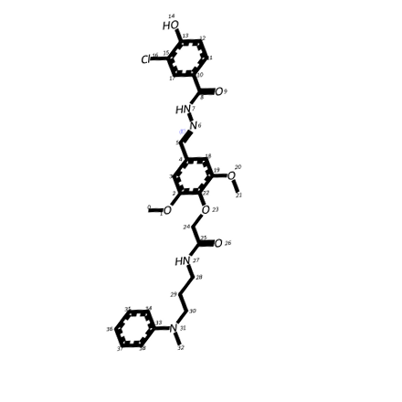 COc1cc(/C=N/NC(=O)c2ccc(O)c(Cl)c2)cc(OC)c1OCC(=O)NCCCN(C)c1ccccc1